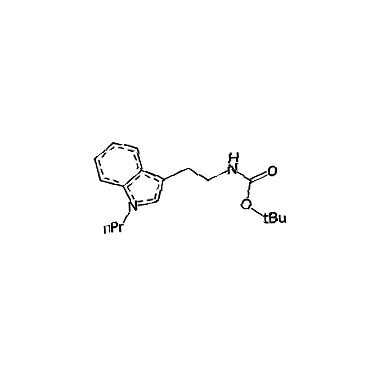 CCCn1cc(CCNC(=O)OC(C)(C)C)c2ccccc21